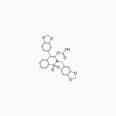 O=C(O)OC1=C(c2ccc3c(c2)OCO3)c2ccccc2S(=O)(=O)N1Cc1ccc2c(c1)OCO2